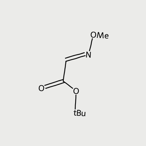 CON=CC(=O)OC(C)(C)C